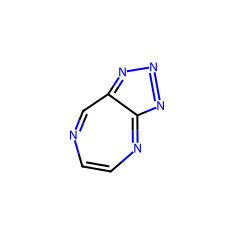 c1cnc2nnnc-2cn1